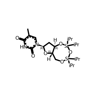 Cc1cn([C@H]2C[C@H]3O[Si](C(C)C)(C(C)C)O[Si](C(C)C)(C(C)C)OC[C@@H]3O2)c(=O)[nH]c1=O